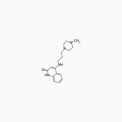 CN1CCN(CCCNc2cc(=O)[nH]c3ccccc23)CC1